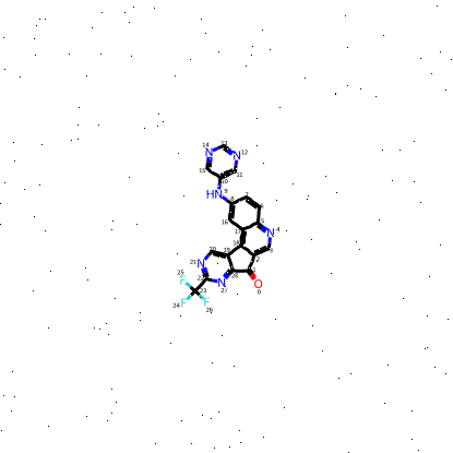 O=C1c2cnc3ccc(Nc4cncnc4)cc3c2-c2cnc(C(F)(F)F)nc21